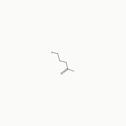 CC(=O)CCCI